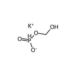 O=[PH]([O-])OCO.[K+]